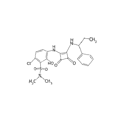 CCC(Nc1c(Nc2ccc(Cl)c(S(=O)(=O)N(C)C)c2O)c(=O)c1=O)c1ccccc1